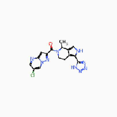 CC1c2c[nH]c(-c3nnn[nH]3)c2CCN1C(=O)c1cc2ncc(Cl)cn2n1